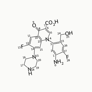 Nc1cc(-n2cc(C(=O)O)c(=O)c3cc(F)c(N4CCNCC4)cc32)c(CO)cc1F